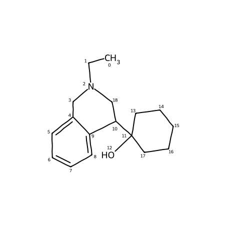 CCN1Cc2ccccc2C(C2(O)CCCCC2)C1